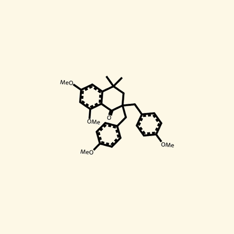 COc1ccc(CC2(Cc3ccc(OC)cc3)CC(C)(C)c3cc(OC)cc(OC)c3C2=O)cc1